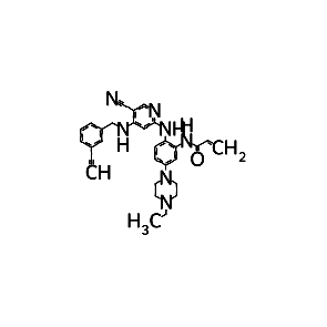 C#Cc1cccc(CNc2cc(Nc3ccc(N4CCN(CC)CC4)cc3NC(=O)C=C)ncc2C#N)c1